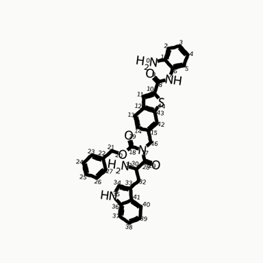 Nc1ccccc1NC(=O)c1cc2ccc(CN(C(=O)OCc3ccccc3)C(=O)C(N)Cc3c[nH]c4ccccc34)cc2s1